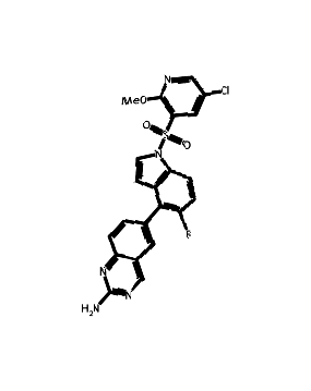 COc1ncc(Cl)cc1S(=O)(=O)n1ccc2c(-c3ccc4nc(N)ncc4c3)c(F)ccc21